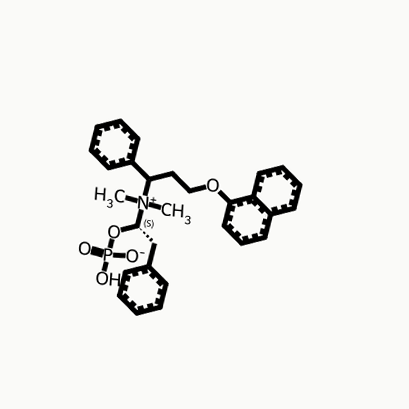 C[N+](C)(C(CCOc1cccc2ccccc12)c1ccccc1)[C@H](Cc1ccccc1)OP(=O)([O-])O